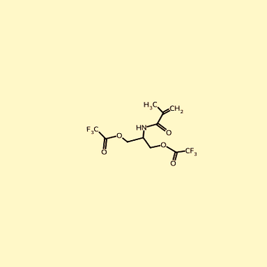 C=C(C)C(=O)NC(COC(=O)C(F)(F)F)COC(=O)C(F)(F)F